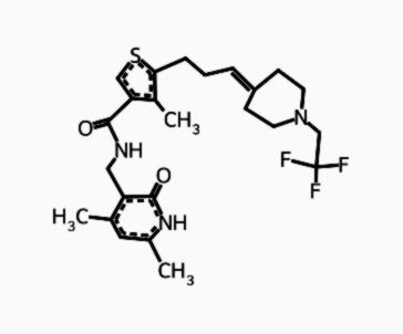 Cc1cc(C)c(CNC(=O)c2csc(CCC=C3CCN(CC(F)(F)F)CC3)c2C)c(=O)[nH]1